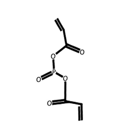 C=CC(=O)O[P](=O)OC(=O)C=C